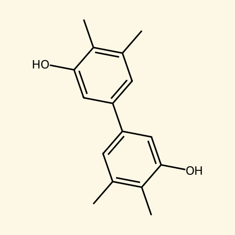 Cc1cc(-c2cc(C)c(C)c(O)c2)cc(O)c1C